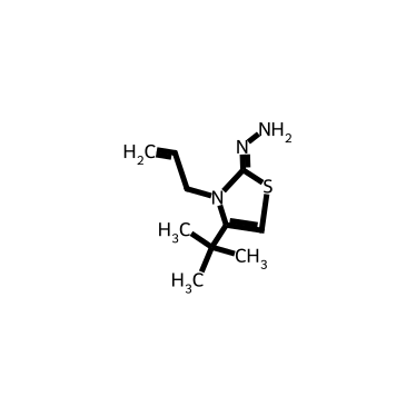 C=CCn1c(C(C)(C)C)cs/c1=N\N